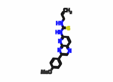 C=CCNC(=S)Nc1ccc2ncc(-c3ccc(OC)cc3)nc2n1